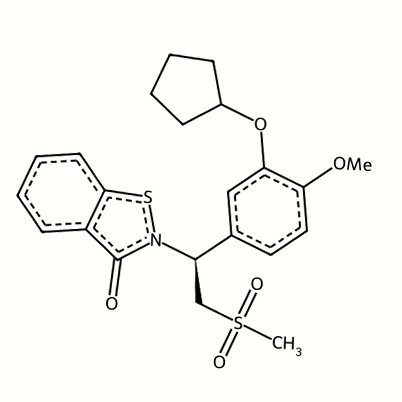 COc1ccc([C@@H](CS(C)(=O)=O)n2sc3ccccc3c2=O)cc1OC1CCCC1